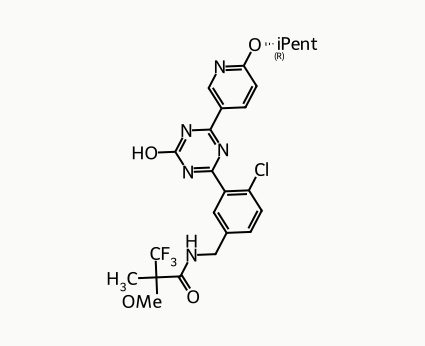 CCC[C@@H](C)Oc1ccc(-c2nc(O)nc(-c3cc(CNC(=O)C(C)(OC)C(F)(F)F)ccc3Cl)n2)cn1